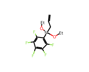 C=CC[Si](OCC)(OCC)c1c(F)c(F)c(F)c(F)c1F